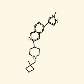 Cn1cc(-c2ccc3cnc(C4CCN(CC5(C)CCC5)CC4)cc3c2)cn1